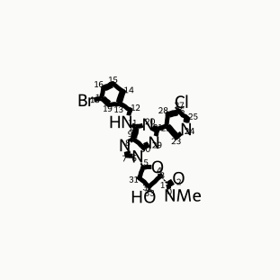 CNC(=O)[C@H]1O[C@@H](n2cnc3c(NCc4cccc(Br)c4)nc(-c4cncc(Cl)c4)nc32)C[C@@H]1O